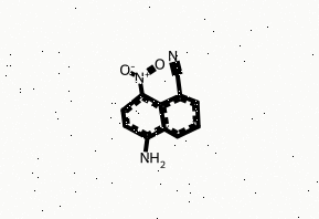 N#Cc1cccc2c(N)ccc([N+](=O)[O-])c12